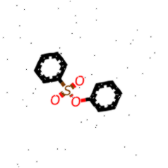 O=S(=O)(Oc1ccccc1)c1c[c]ccc1